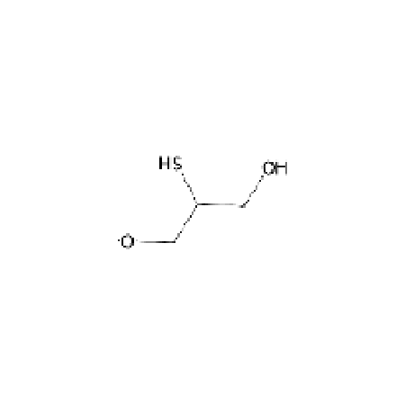 [O]CC(S)CO